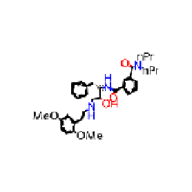 CCCN(CCC)C(=O)c1cccc(C(=O)N[C@@H](Cc2ccccc2)C(O)CNCCc2cc(OC)ccc2OC)c1